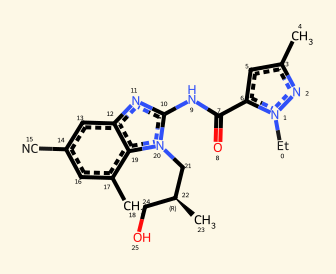 CCn1nc(C)cc1C(=O)Nc1nc2cc(C#N)cc(C)c2n1C[C@@H](C)CO